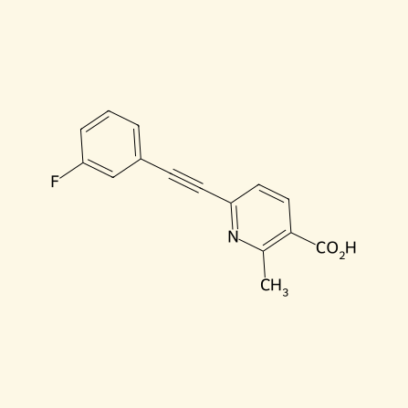 Cc1nc(C#Cc2cccc(F)c2)ccc1C(=O)O